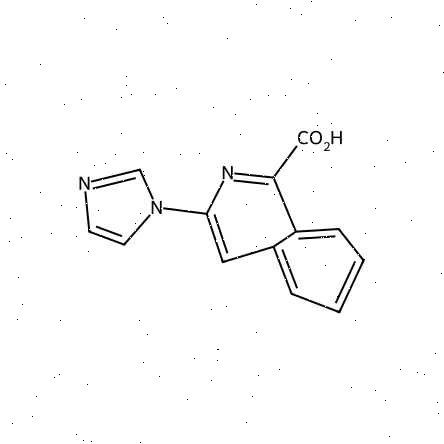 O=C(O)c1nc(-n2ccnc2)cc2ccccc12